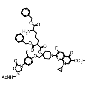 CC(=O)NC[C@H]1CN(c2ccc(OCC3(OC(=O)C(CCCC(N)C(=O)OCc4ccccc4)C(=O)OCc4ccccc4)CCN(c4nc5c(cc4F)c(=O)c(C(=O)O)cn5C4CC4)CC3)c(F)c2)C(=O)O1